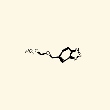 O=C(O)COCc1ccc2nsnc2c1